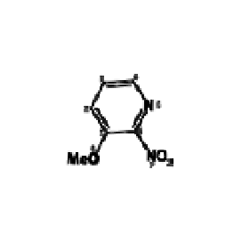 [CH2]Oc1cccnc1[N+](=O)[O-]